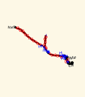 COCCOCCOCCOCCOCCOCCOCCOCCOCCOCCOCCOCCNC(=O)CN(CC(=O)NCCn1cc(COCCOCCOCCOCCNC(=O)c2ncn(-c3ncc(OC)c4c(C(=O)C(=O)N5CCC(=C(C#N)c6ccccc6)CC5)c[nH]c34)n2)nn1)C(=O)CCOCCOCCOCCOCI